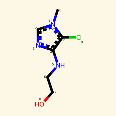 Cn1cnc(NCCO)c1Cl